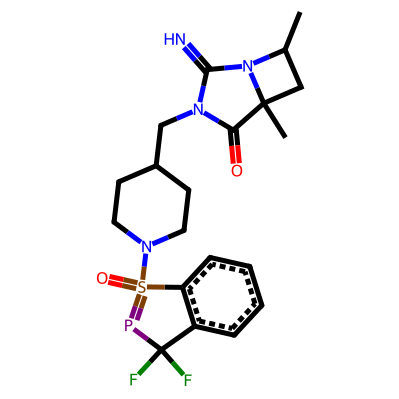 CC1CC2(C)C(=O)N(CC3CCN(S4(=O)=PC(F)(F)c5ccccc54)CC3)C(=N)N12